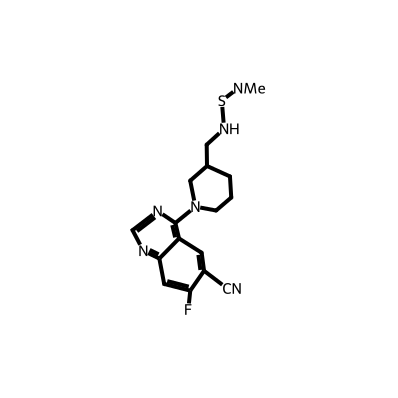 CNSNCC1CCCN(c2ncnc3cc(F)c(C#N)cc23)C1